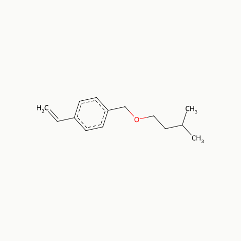 C=Cc1ccc(COCCC(C)C)cc1